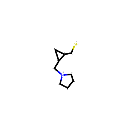 SCC1CC1CN1CCCC1